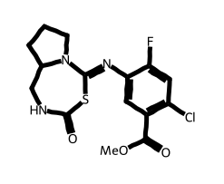 COC(=O)c1cc(N=C2SC(=O)NCC3CCCN23)c(F)cc1Cl